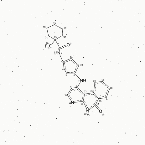 O=C(Nc1ccc(Nc2ccnc3[nH]c(=O)c4ccccc4c23)cc1)C1(C(F)(F)F)CCCCC1